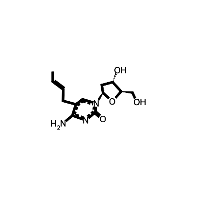 CC=CCc1cn([C@H]2C[C@H](O)[C@@H](CO)O2)c(=O)nc1N